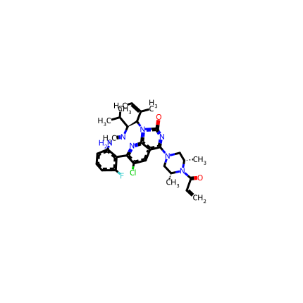 C=CC(=O)N1[C@H](C)CN(c2nc(=O)n(C(/C(C)=C\C)[C@@H](N=C)C(C)C)c3nc(-c4c(N)cccc4F)c(Cl)cc23)C[C@@H]1C